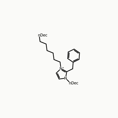 CCCCCCCCCCCCCCCC[n+]1ccn(CCCCCCCCCC)c1Cc1ccccc1